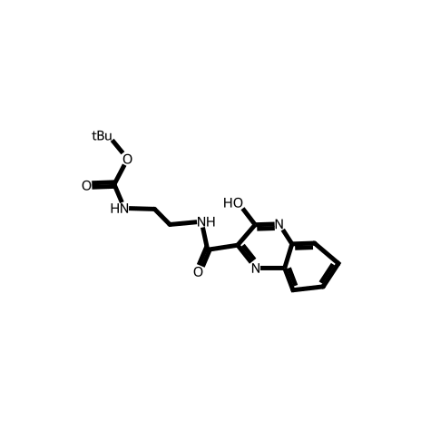 CC(C)(C)OC(=O)NCCNC(=O)c1nc2ccccc2nc1O